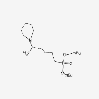 CCCCOP(=O)(CCCCC(C)N1CCCCC1)OCCCC